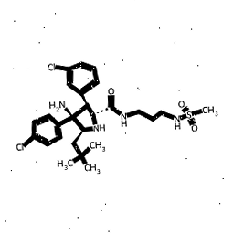 CC(C)(C)C[C@@H]1N[C@@H](C(=O)NCCCNS(C)(=O)=O)[C@H](c2cccc(Cl)c2)[C@@]1(N)c1ccc(Cl)cc1